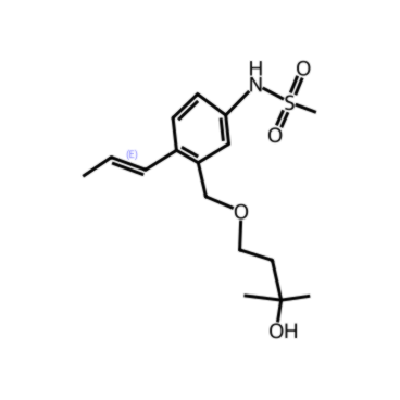 C/C=C/c1ccc(NS(C)(=O)=O)cc1COCCC(C)(C)O